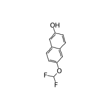 Oc1ccc2cc(OC(F)F)ccc2c1